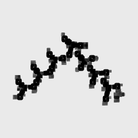 O=[N+]([O-])O.O=[N+]([O-])[O-].O=[N+]([O-])[O-].O=[N+]([O-])[O-].O=[N+]([O-])[O-].O=[N+]([O-])[O-].O=[N+]([O-])[O-].[U+6]